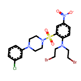 O=[N+]([O-])c1ccc(N(CCBr)CCBr)c(S(=O)(=O)N2CCN(c3cccc(Cl)c3)CC2)c1